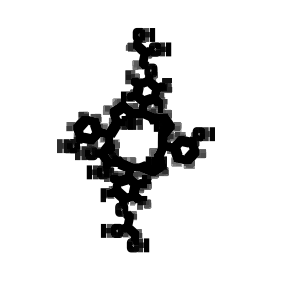 OCC(O)COc1c(F)c(F)c(-c2c3nc(c(-c4cccc(O)c4)c4ccc([nH]4)c(C4=C(F)C(F)C(OCC(O)CO)C(F)=C4F)c4nc(c(-c5cccc(O)c5)c5ccc2[nH]5)C=C4)C(O)C3O)c(F)c1F